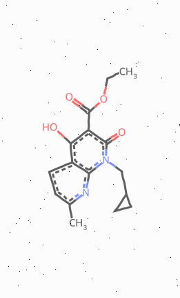 CCOC(=O)c1c(O)c2ccc(C)nc2n(CC2CC2)c1=O